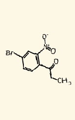 CCC(=O)c1ccc(Br)cc1[N+](=O)[O-]